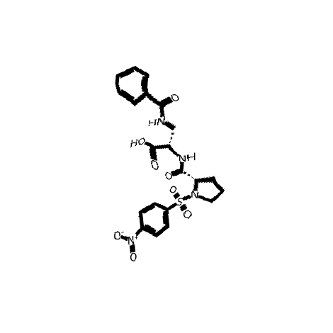 O=C(NC[C@H](NC(=O)[C@@H]1CCCN1S(=O)(=O)c1ccc([N+](=O)[O-])cc1)C(=O)O)c1ccccc1